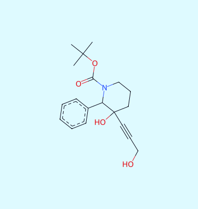 CC(C)(C)OC(=O)N1CCCC(O)(C#CCO)C1c1ccccc1